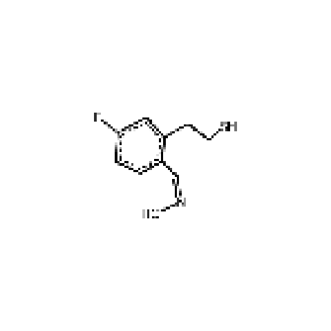 O/N=C\c1ccc(F)cc1CCS